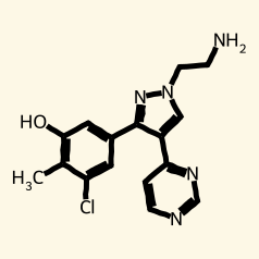 Cc1c(O)cc(-c2nn(CCN)cc2-c2ccncn2)cc1Cl